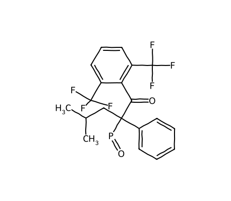 CC(C)CC(P=O)(C(=O)c1c(C(F)(F)F)cccc1C(F)(F)F)c1ccccc1